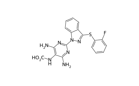 Nc1nc(-n2nc(Sc3ccccc3F)c3ccccc32)nc(N)c1NC(=O)O